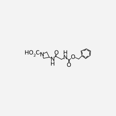 O=C(CNC(=O)OCc1ccccc1)NC1CN(C(=O)O)C1